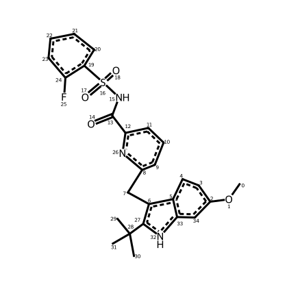 COc1ccc2c(Cc3cccc(C(=O)NS(=O)(=O)c4ccccc4F)n3)c(C(C)(C)C)[nH]c2c1